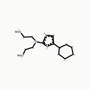 COCCN(CCOC)c1nc(C2CCCCC2)cs1